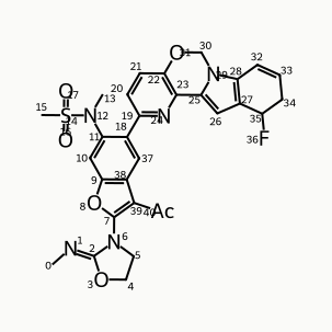 C/N=C1\OCCN1c1oc2cc(N(C)S(C)(=O)=O)c(-c3ccc4c(n3)-c3cc5c(n3CO4)C=CCC5F)cc2c1C(C)=O